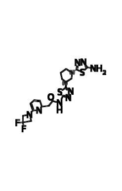 Nc1nnc([C@H]2CCC[C@H](c3nnc(NC(=O)Cc4cccc(N5CC(F)(F)C5)n4)s3)C2)s1